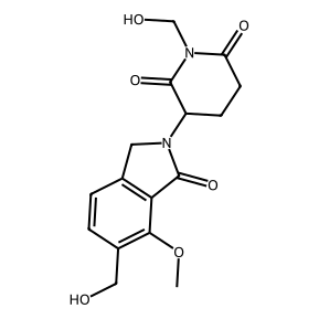 COc1c(CO)ccc2c1C(=O)N(C1CCC(=O)N(CO)C1=O)C2